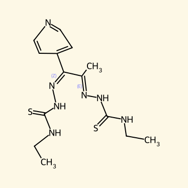 CCNC(=S)N/N=C(\C(C)=N\NC(=S)NCC)c1ccncc1